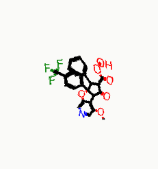 COc1cncc2c1C1C(=O)C(C(=O)OO)C(c3ccccc3)C1(c1ccc(C(F)(F)F)cc1)O2